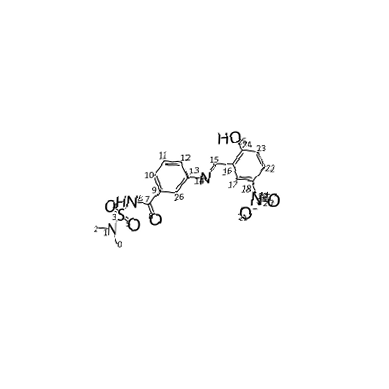 CN(C)S(=O)(=O)NC(=O)c1cccc(/N=C/c2cc([N+](=O)[O-])ccc2O)c1